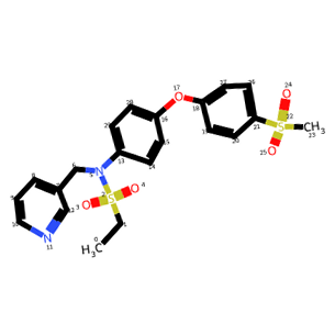 CCS(=O)(=O)N(Cc1cccnc1)c1ccc(Oc2ccc(S(C)(=O)=O)cc2)cc1